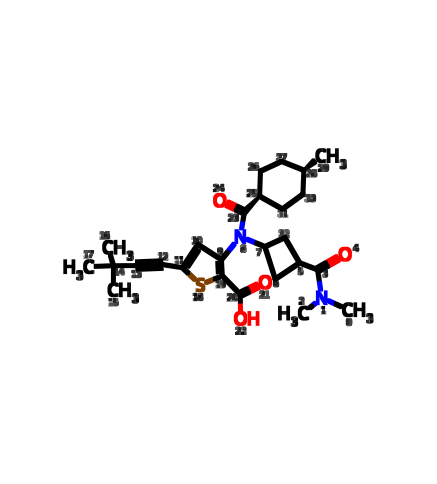 CN(C)C(=O)C1CC(N(c2cc(C#CC(C)(C)C)sc2C(=O)O)C(=O)[C@H]2CC[C@@H](C)CC2)C1